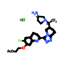 CC(=O)OCCOc1cc2nc(-c3nnc4ccc([C@@H](N5CC[C@H](N)C5)C(F)(F)F)cn34)ccc2cc1F.Cl